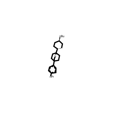 CCCC[C@H]1CC[C@H](C23CCC(c4ccc(CCC)cc4)(CC2)CC3)CC1